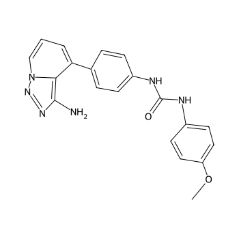 COc1ccc(NC(=O)Nc2ccc(-c3cccn4nnc(N)c34)cc2)cc1